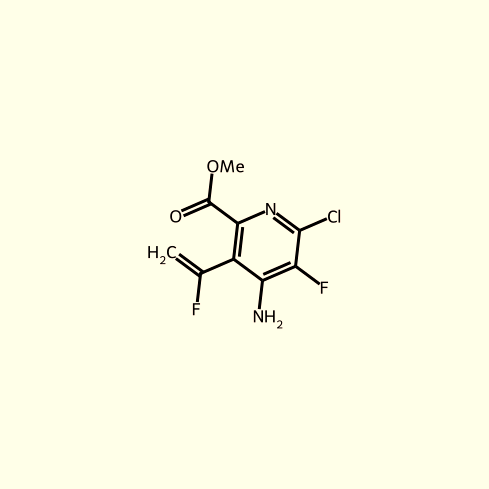 C=C(F)c1c(C(=O)OC)nc(Cl)c(F)c1N